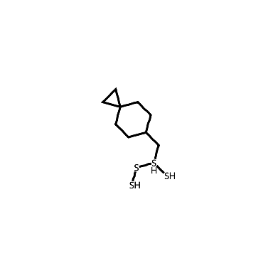 SS[SH](S)CC1CCC2(CC1)CC2